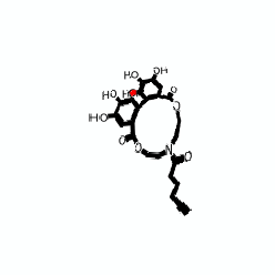 C#CCCCC(=O)N1CCOC(=O)c2cc(O)c(O)c(O)c2-c2c(cc(O)c(O)c2O)C(=O)OCC1